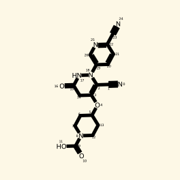 N#CC1=C(OC2CCN(C(=O)O)CC2)CC(=O)NN1c1ccc(C#N)nc1